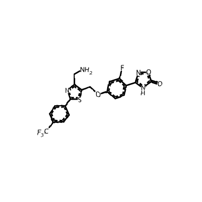 NCc1nc(-c2ccc(C(F)(F)F)cc2)sc1COc1ccc(-c2noc(=O)[nH]2)c(F)c1